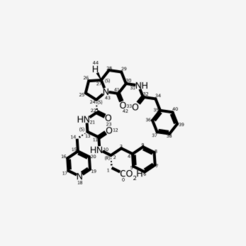 O=C(O)C[C@@H](Cc1ccccc1)NC(=O)[C@H](Cc1ccncc1)NC(=O)[C@@H]1CC[C@@H]2CCC(NC(=O)Cc3ccccc3)C(=O)N21